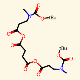 CN(CCC(=O)OC(=O)CCC(=O)OC(=O)CCN(C)C(=O)OC(C)(C)C)C(=O)OC(C)(C)C